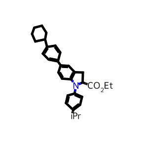 CCOC(=O)C1Cc2cc(-c3ccc(C4CCCCC4)cc3)ccc2N1c1ccc(C(C)C)cc1